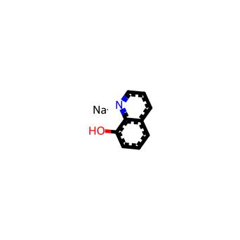 Oc1cccc2cccnc12.[Na]